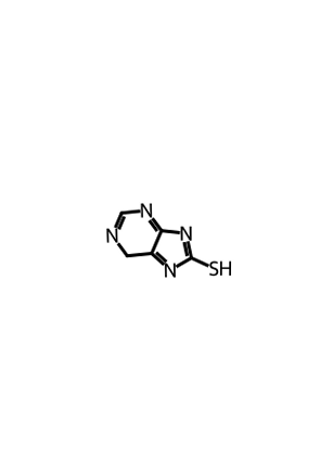 SC1=NC2=NC=NCC2=N1